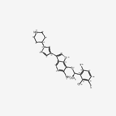 C[C@@H](Oc1c(N)ncc2c(-c3cnn(C4CCNCC4)c3)coc12)c1c(F)ccc(F)c1Cl